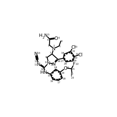 CCN(CC(N)=O)C1CN(C(=NC#N)Nc2cccc(OC(F)F)c2)N=C1c1ccc(Cl)c(Cl)c1